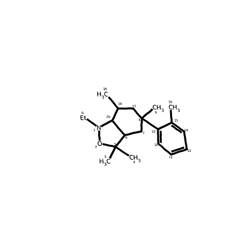 CCN1OC(C)(C)C2CC(C)(c3ccccc3C)CC(C)C21